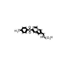 Cc1ccc(S(=O)(=O)c2cc3cc(CNC(=O)O)cn3cn2)cc1